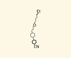 CC/C=C/CCCCOCCCC1CCC(c2ccc(C#N)cc2)CC1